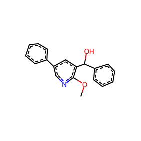 COc1ncc(-c2ccccc2)cc1C(O)c1ccccc1